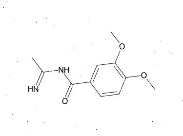 COc1ccc(C(=O)NC(C)=N)cc1OC